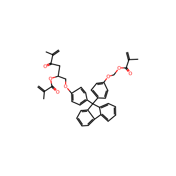 C=C(C)C(=O)CC(COc1ccc(C2(c3ccc(OCOC(=O)C(=C)C)cc3)c3ccccc3-c3ccccc32)cc1)OC(=O)C(=C)C